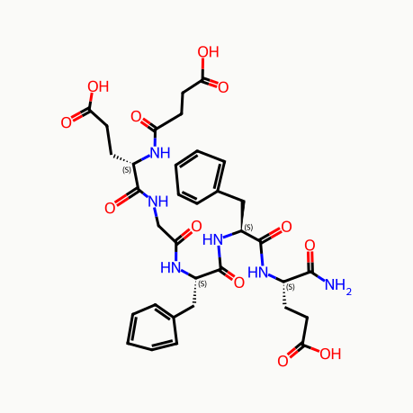 NC(=O)[C@H](CCC(=O)O)NC(=O)[C@H](Cc1ccccc1)NC(=O)[C@H](Cc1ccccc1)NC(=O)CNC(=O)[C@H](CCC(=O)O)NC(=O)CCC(=O)O